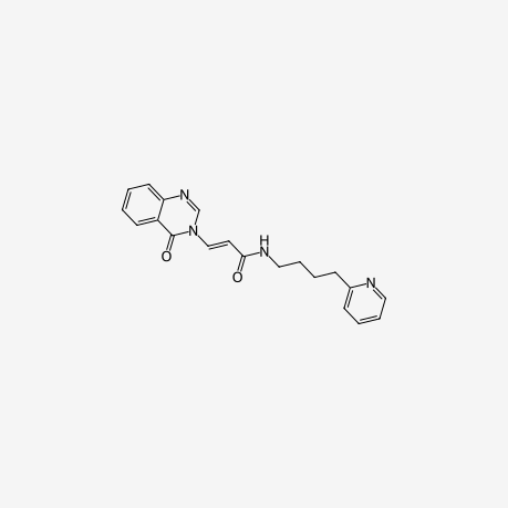 O=C(/C=C/n1cnc2ccccc2c1=O)NCCCCc1ccccn1